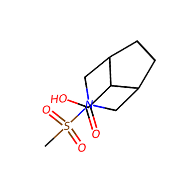 CS(=O)(=O)N1CC2CCC(C1)C2C(=O)O